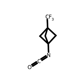 O=C=NC12CC(C(F)(F)F)(C1)C2